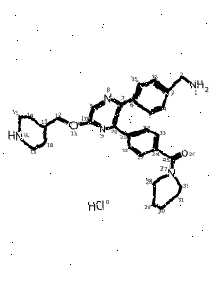 Cl.NCc1ccc(-c2ncc(OCC3CCNCC3)nc2-c2ccc(C(=O)N3CCCCC3)cc2)cc1